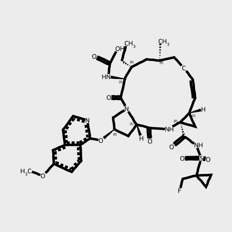 CC[C@@H]1C[C@H](C)CCC=C[C@@H]2C[C@@]2(C(=O)NS(=O)(=O)C2(CF)CC2)NC(=O)[C@@H]2C[C@@H](Oc3nccc4cc(OC)ccc34)CN2C(=O)[C@H]1NC(=O)O